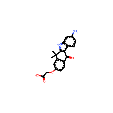 CC1(C)c2cc(OCC(=O)O)ccc2C(=O)c2c1[nH]c1cc(N)ccc21